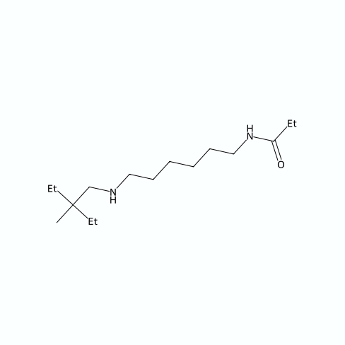 CCC(=O)NCCCCCCNCC(C)(CC)CC